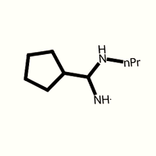 CCCNC([NH])C1CCCC1